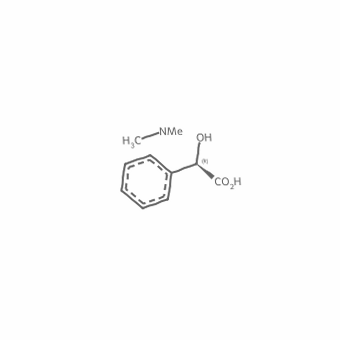 CNC.O=C(O)[C@H](O)c1ccccc1